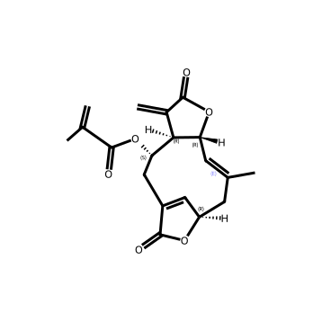 C=C(C)C(=O)O[C@H]1CC2=C[C@@H](C/C(C)=C/[C@H]3OC(=O)C(=C)[C@H]13)OC2=O